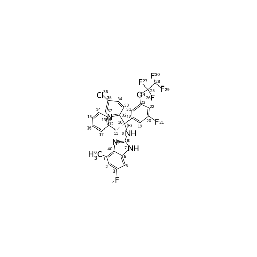 Cc1cc(F)cc2[nH]c(N[C@](Cc3ccccc3)(c3cc(F)cc(OC(F)(F)C(F)F)c3)c3ccc(Cl)cn3)nc12